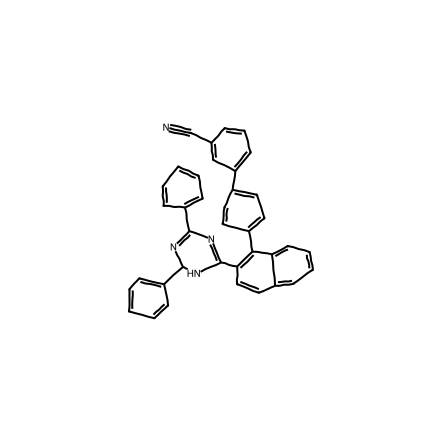 N#Cc1cccc(-c2ccc(-c3c(C4=NC(c5ccccc5)=NC(c5ccccc5)N4)ccc4ccccc34)cc2)c1